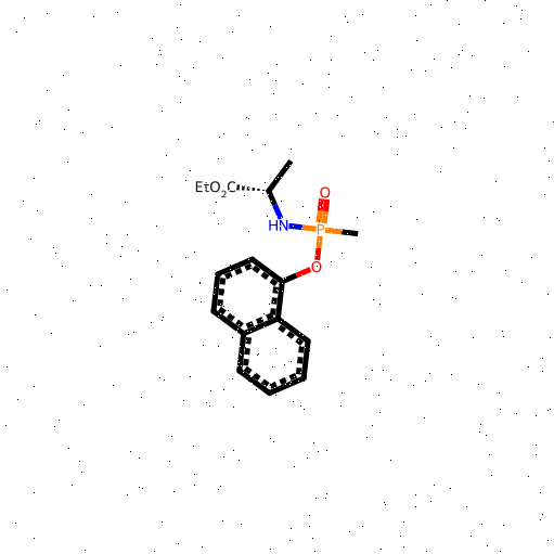 CCOC(=O)[C@H](C)NP(C)(=O)Oc1cccc2ccccc12